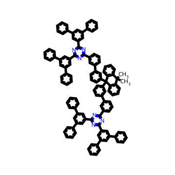 CC1(C)c2ccccc2C(c2cccc(-c3cccc(-c4nc(-c5cc(-c6ccccc6)cc(-c6ccccc6)c5)nc(-c5cc(-c6ccccc6)cc(-c6ccccc6)c5)n4)c3)c2)(c2cccc(-c3cccc(-c4nc(-c5cc(-c6ccccc6)cc(-c6ccccc6)c5)nc(-c5cc(-c6ccccc6)cc(-c6ccccc6)c5)n4)c3)c2)c2ccccc21